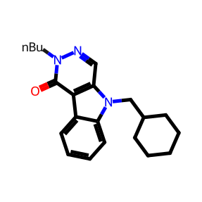 CCCCn1ncc2c(c1=O)c1ccccc1n2CC1CCCCC1